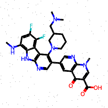 CNc1cc(F)c(F)c2c1[nH]c1ncc(-c3cnc4c(c3)c(=O)c(C(=O)O)cn4C)c(N3CCCC(CN(C)C)C3)c12